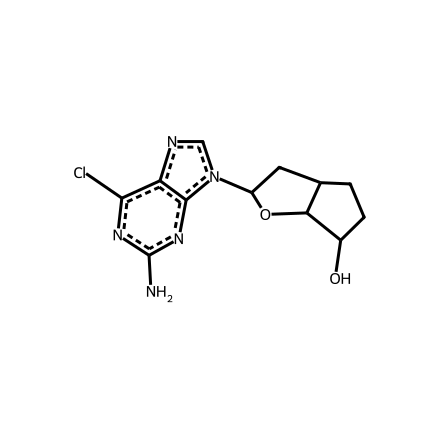 Nc1nc(Cl)c2ncn(C3CC4CCC(O)C4O3)c2n1